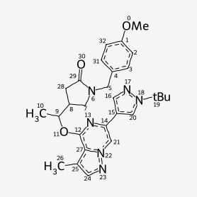 COc1ccc(CN2CC(C(C)Oc3nc(-c4cnn(C(C)(C)C)c4)cn4ncc(C)c34)CC2=O)cc1